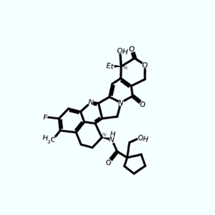 CC[C@@]1(O)C(=O)OCc2c1cc1n(c2=O)Cc2c-1nc1cc(F)c(C)c3c1c2[C@@H](NC(=O)C1(CO)CCCC1)CC3